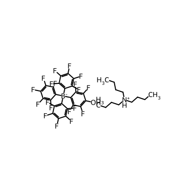 CCCC[NH+](CCCC)CCCC.Oc1c(F)c(F)c([B-](c2c(F)c(F)c(F)c(F)c2F)(c2c(F)c(F)c(F)c(F)c2F)c2c(F)c(F)c(F)c(F)c2F)c(F)c1F